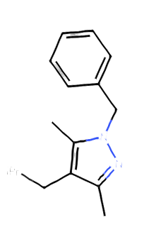 Cc1nn(Cc2ccccc2)c(C)c1CC(C)C